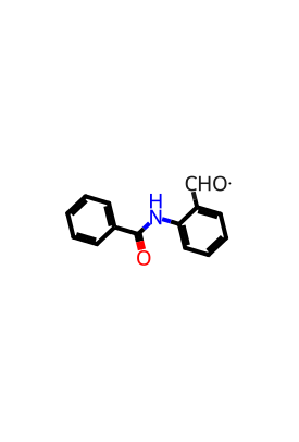 O=[C]c1ccccc1NC(=O)c1ccccc1